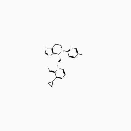 C/C=C1/C(C2CC2)=CC=CN1/N=C/[C@H]1c2nc[nH]c2CCN1c1ccc(C(F)(F)F)cn1